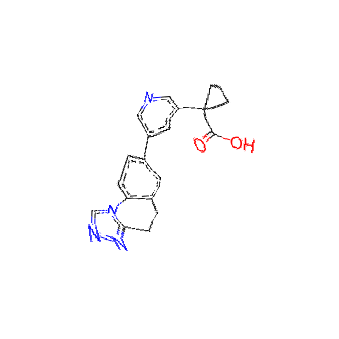 O=C(O)C1(c2cncc(-c3ccc4c(c3)CCc3nncn3-4)c2)CC1